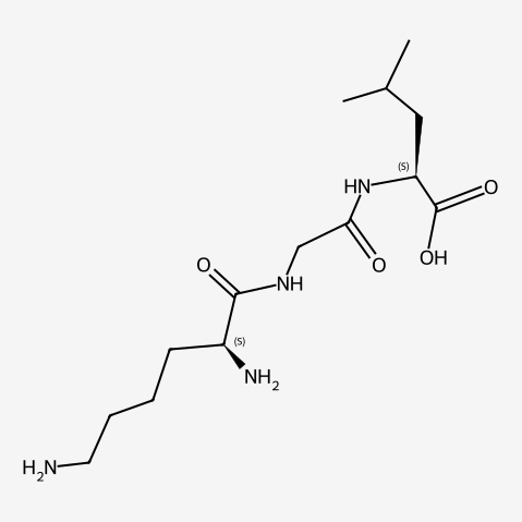 CC(C)C[C@H](NC(=O)CNC(=O)[C@@H](N)CCCCN)C(=O)O